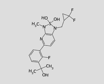 CN1c2nc(-c3cccc(C(C)(C)O)c3F)ccc2N(CC2CC2(F)F)S1(O)O